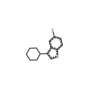 Fc1ccc2scc([C]3CCCCC3)c2c1